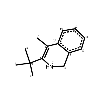 CC1=C(C(C)(C)C)NCc2ccccc21